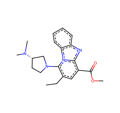 CCc1cc(C(=O)OC)c2nc3ccccc3n2c1N1CC[C@H](N(C)C)C1